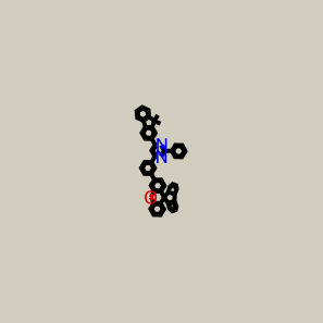 CC1(C)c2ccccc2-c2ccc(-c3cc(-c4cccc(-c5ccc6c(c5)Oc5ccccc5C65c6ccccc6C6C=CC=CC65)c4)nc(-c4ccccc4)n3)cc21